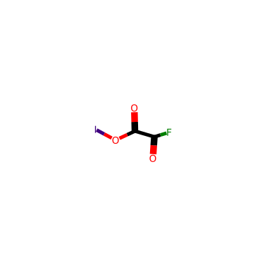 O=C(F)C(=O)OI